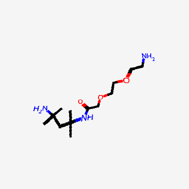 CC(C)(N)CC(C)(C)NC(=O)COCCOCCN